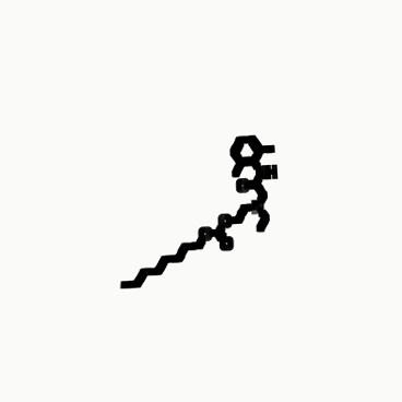 CCCCCCCCOC(=O)OCCN(CC)CC(=O)Nc1c(C)cccc1C